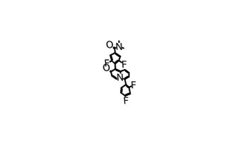 CN(C)C(=O)c1cc(F)c(-c2c(=O)ccn3c(-c4ccc(F)cc4F)cccc23)c(F)c1